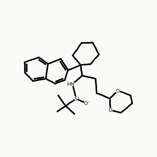 CC(C)(C)[S+]([O-])NC(CCC1OCCCO1)C1(c2ccc3ccccc3c2)CCCCC1